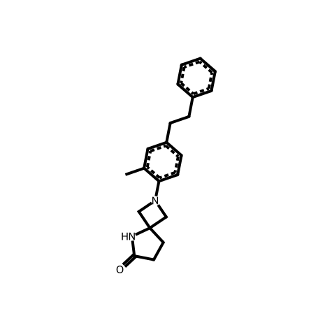 Cc1cc(CCc2ccccc2)ccc1N1CC2(CCC(=O)N2)C1